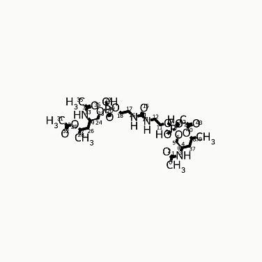 CC(=O)N[C@@H](COP(=O)(O)OCCNC(=O)NCCOP(=O)(O)OC[C@@H](CC(C)OC(C)=O)NC(C)=O)CC(C)OC(C)=O